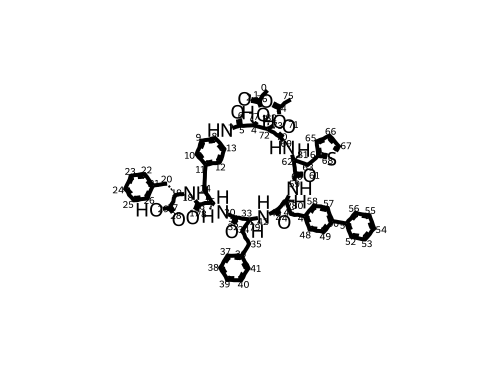 CC(=O)O[C@H]1C(=O)Nc2ccc(cc2)C[C@H](C(=O)N[C@@H](Cc2ccccc2)C(=O)O)NC(=O)[C@H](CCc2ccccc2)NC(=O)[C@@H](Cc2ccc(-c3ccccc3)cc2)NC(=O)[C@H](Cc2cccs2)NC(=O)[C@@H]1OC(C)=O